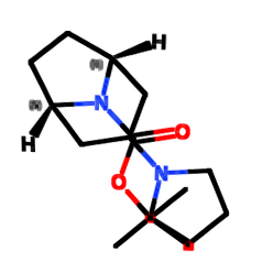 CC(C)(C)OC(=O)N1[C@@H]2CC[C@H]1CC(N1CCCC1)C2